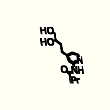 CC(C)C(=O)Nc1cc(CC[C@@H](O)CO)ccn1